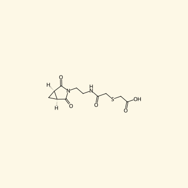 O=C(O)CSCC(=O)NCCN1C(=O)[C@H]2C[C@H]2C1=O